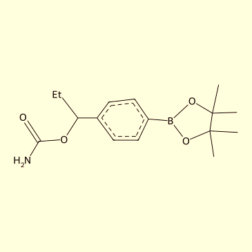 CCC(OC(N)=O)c1ccc(B2OC(C)(C)C(C)(C)O2)cc1